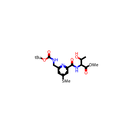 COC(=O)C(NC(=O)c1cc(SC)cc(CNC(=O)OC(C)(C)C)n1)C(C)O